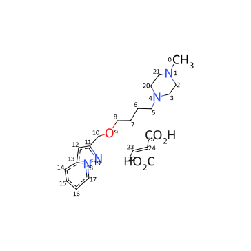 CN1CCN(CCCCOCc2cc3ccccn3n2)CC1.O=C(O)C=CC(=O)O